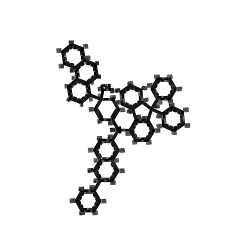 CC1(c2cccc3c2ccc2ccccc23)C=CC(N(c2ccc3cc(-c4ccccc4)ccc3c2)c2cccc3c2-c2ccccc2C3(c2ccccc2)c2ccccc2)=CC1